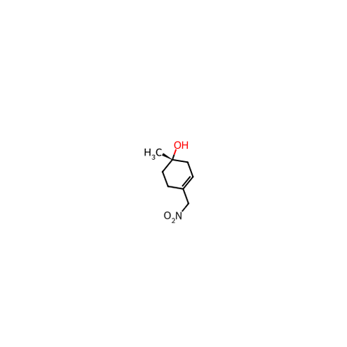 C[C@@]1(O)CC=C(C[N+](=O)[O-])CC1